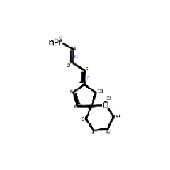 CCC/C=C/C=C1\C=CC2(CCCCO2)C1